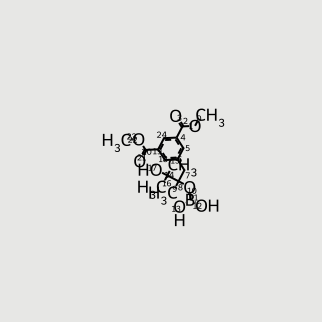 COC(=O)c1cc(CC(C)(OB(O)O)C(C)(C)O)cc(C(=O)OC)c1